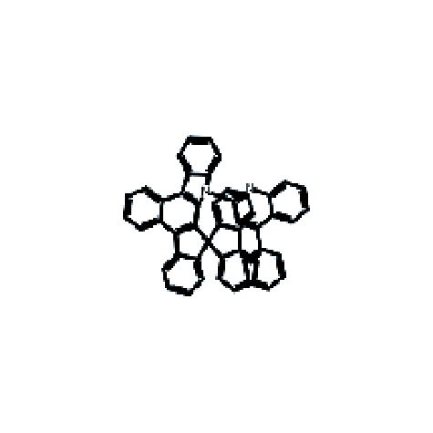 c1ccc(-c2cc(-n3c4ccccc4c4c5ccccc5c5c(c43)C3(c4ccccc4-c4ccccc43)c3ccccc3-5)nc3ccccc23)cc1